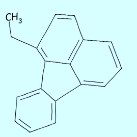 CCc1ccc2cccc3c2c1-c1ccccc1-3